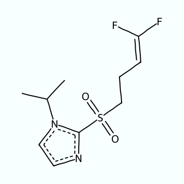 CC(C)n1ccnc1S(=O)(=O)CCC=C(F)F